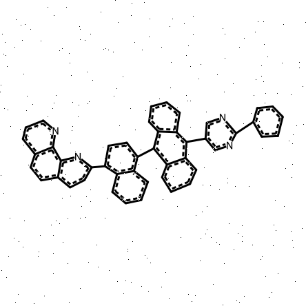 c1ccc(-c2ncc(-c3c4ccccc4c(-c4ccc(-c5ccc6ccc7cccnc7c6n5)c5ccccc45)c4ccccc34)cn2)cc1